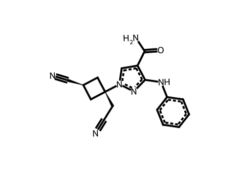 N#CC[C@]1(n2cc(C(N)=O)c(Nc3ccccc3)n2)C[C@H](C#N)C1